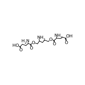 NC(CCCOC(=O)C(N)CCC(=O)O)COC(=O)C(N)CCC(=O)O